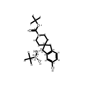 CC(C)(C)OC(=O)N1CCC2(CC1)Cc1ccc(Cl)cc1[C@@H]2N[S@@+]([O-])C(C)(C)C